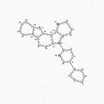 c1ccc(-c2ccc(-n3c4cccnc4c4c5sc6ccccc6c5ccc43)nc2)cc1